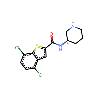 O=C(N[C@@H]1CCCNC1)c1cc2c(Cl)ccc(Cl)c2s1